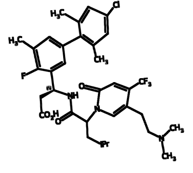 Cc1cc(-c2c(C)cc(Cl)cc2C)cc([C@H](CC(=O)O)NC(=O)C(CC(C)C)n2cc(CCN(C)C)c(C(F)(F)F)cc2=O)c1F